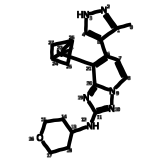 Cc1n[nH]cc1-c1ccn2nc(NC3CCOCC3)nc2c1N1CC2CC1C2